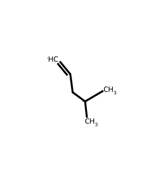 [CH]=CC[C](C)C